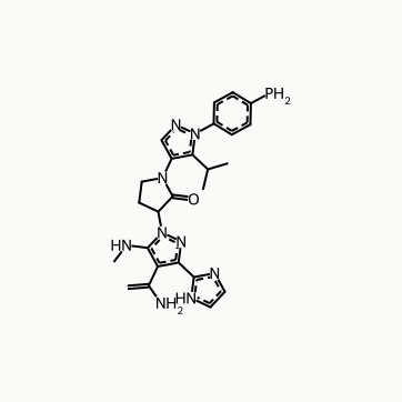 C=C(N)c1c(-c2ncc[nH]2)nn(C2CCN(c3cnn(-c4ccc(P)cc4)c3C(C)C)C2=O)c1NC